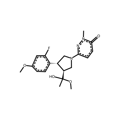 COc1ccc([C@@H]2CN(c3ccc(=O)n(C)n3)C[C@H]2C(C)(O)OC)c(F)c1